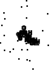 CCNC(=O)Nc1ncnc2c1ncn2C1CC(C(=O)N2CCC[C@@H]2C(=O)O)C2O[C@H](c3ccccc3)OC21